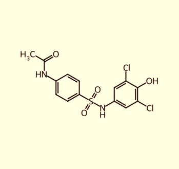 CC(=O)Nc1ccc(S(=O)(=O)Nc2cc(Cl)c(O)c(Cl)c2)cc1